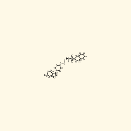 O=S(=O)(NCCCCN1CCC(c2noc3cc(F)ccc23)CC1)c1ccc2ccccc2c1